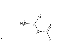 CC(=O)OC([SiH3])S